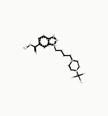 COC(=O)c1ccc2nnn(CCCCN3CCN(C(F)(F)F)CC3)c2c1